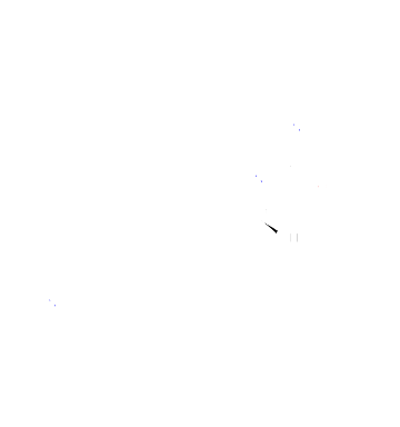 C[C@H](NC(=O)N(C)C)c1ccc(-c2ccncc2)cc1